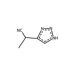 C[C](C#N)c1c[nH]nn1